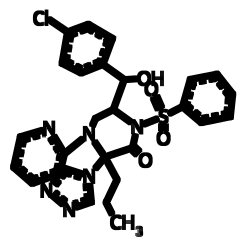 CCCC1(n2cnnc2)C(=O)N(S(=O)(=O)c2ccccc2)C(C(O)c2ccc(Cl)cc2)CN1c1ccccn1